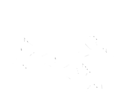 CN(C)Cc1ccncc1-c1ccc(-c2ccc3c(C(N)=O)nn(-c4ccc5onc(N)c5c4)c3c2F)c(F)c1